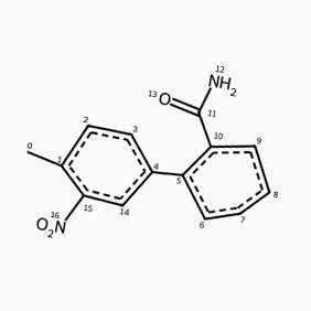 Cc1ccc(-c2ccccc2C(N)=O)cc1[N+](=O)[O-]